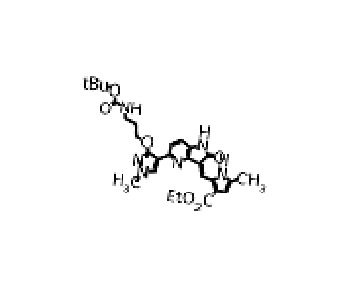 CCOC(=O)c1cc(C)[nH]c1/C=C1\C(=O)Nc2ccc(-c3cn(C)nc3OCCCNC(=O)OC(C)(C)C)nc21